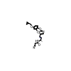 C[C@@H](/C=C/c1cnc(Oc2ccc(OCC3CC3)cc2Cl)s1)NC(=O)CC#N